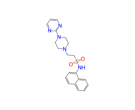 O=S(=O)(CCN1CCN(c2ncccn2)CC1)Nc1cccc2ccccc12